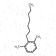 CCCCCC[CH]c1c(C)cccc1C